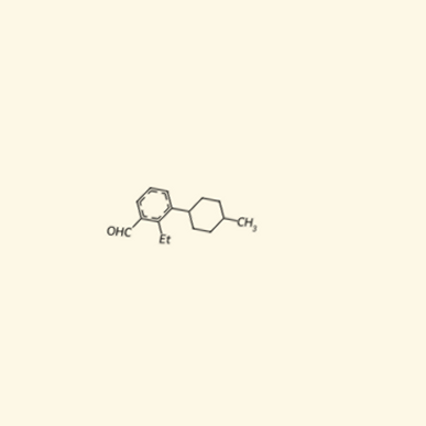 CCc1c(C=O)cccc1C1CCC(C)CC1